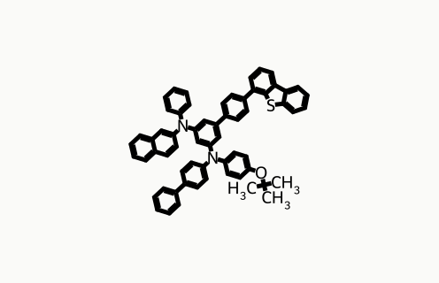 CC(C)(C)Oc1ccc(N(c2ccc(-c3ccccc3)cc2)c2cc(-c3ccc(-c4cccc5c4sc4ccccc45)cc3)cc(N(c3ccccc3)c3ccc4ccccc4c3)c2)cc1